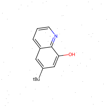 CC(C)(C)c1cc(O)c2ncccc2c1